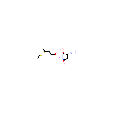 CCSC(C)CCC(=O)ON1C(=O)CC(N)C1=O